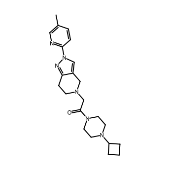 Cc1ccc(-n2cc3c(n2)CCN(CC(=O)N2CCN(C4CCC4)CC2)C3)nc1